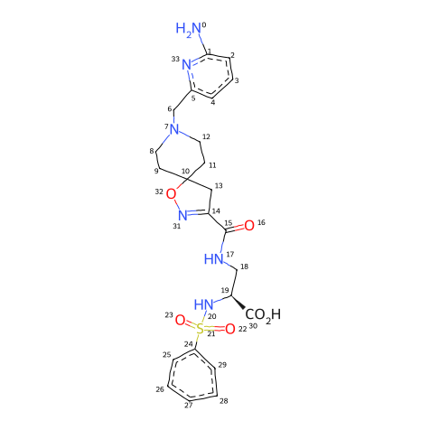 Nc1cccc(CN2CCC3(CC2)CC(C(=O)NC[C@H](NS(=O)(=O)c2ccccc2)C(=O)O)=NO3)n1